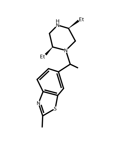 CC[C@H]1CN(C(C)c2ccc3nc(C)sc3c2)[C@@H](CC)CN1